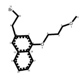 COCCCOc1cc(CCBr)cc2ccccc12